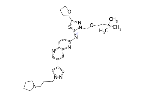 C[Si](C)(C)CCOCn1nc(C2CCCO2)s/c1=N\c1ccc2ncc(-c3cnn(CCCN4CCCC4)c3)cc2n1